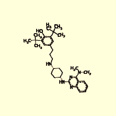 CN(C)c1nc(N[C@H]2CC[C@@H](NCCCc3cc(C(C)(C)C)c(O)c(C(C)(C)C)c3)CC2)nc2ccccc12